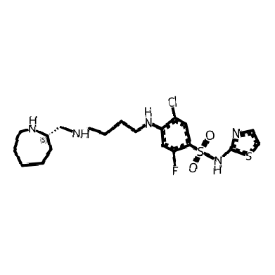 O=S(=O)(Nc1nccs1)c1cc(Cl)c(NCCCCNC[C@@H]2CCCCCN2)cc1F